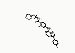 Cc1ccc(-c2cnc3c(Nc4ccc(C(=O)NC(C)(C)CN5CCOCC5)c(C)c4)nccn23)cc1